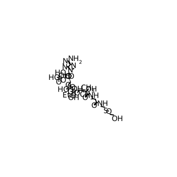 CC(C)(COP(=O)(O)OP(=O)(O)OC[C@@H]1O[C@H](n2cnc3c(N)ncnc32)[C@@H](O)[C@H]1OP(=O)(O)O)C(O)C(=O)NCCC(=O)NCCSOCCO.CCO